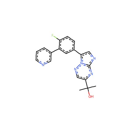 CC(C)(O)c1cnn2c(-c3ccc(F)c(-c4cccnc4)c3)cnc2n1